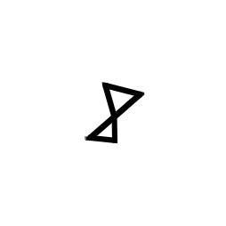 [CH]1CC12CC2